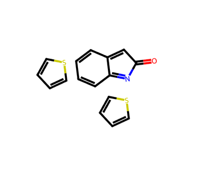 O=C1C=c2ccccc2=N1.c1ccsc1.c1ccsc1